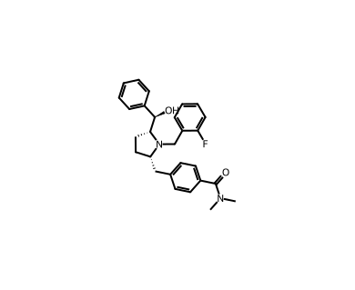 CN(C)C(=O)c1ccc(C[C@@H]2CC[C@H]([C@H](O)c3ccccc3)N2Cc2ccccc2F)cc1